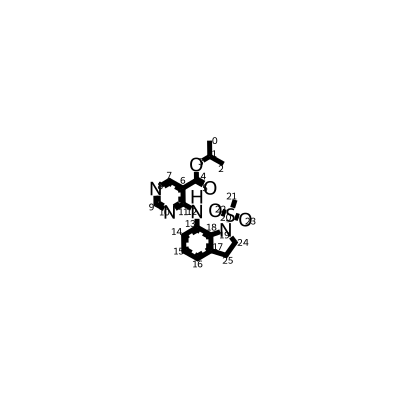 CC(C)OC(=O)c1cncnc1Nc1cccc2c1N(S(C)(=O)=O)CC2